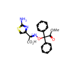 COC(=O)C(O/N=C(\C(=O)O)c1csc(N)n1)(c1ccccc1)c1ccccc1